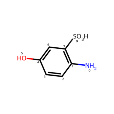 Nc1ccc(O)cc1S(=O)(=O)O